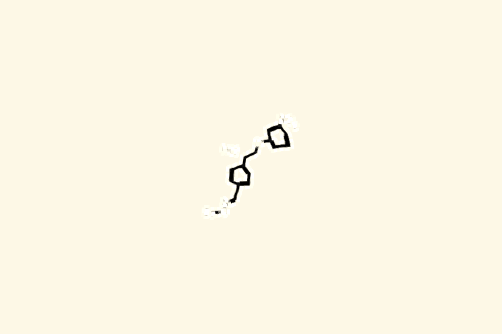 CCO/N=C/c1ccc(CCOc2cccc([N+](=O)[O-])c2)cc1.Cl